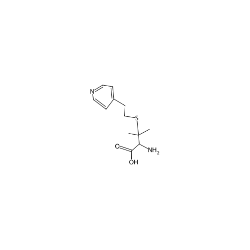 CC(C)(SCCc1ccncc1)C(N)C(=O)O